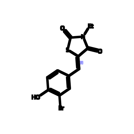 CCN1C(=O)S/C(=C\c2ccc(O)c(Br)c2)C1=O